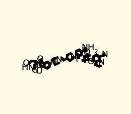 CC1(C)[C@H](Oc2ccc(C#N)c3ncccc23)C(C)(C)[C@H]1c1c(C(N)=O)ccc(N2CCC(CCN3CCN(c4ccc5c(c4)C(=O)N(C4CCC(=O)NC4=O)C5=O)CC3)CC2)c1F